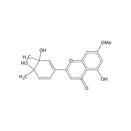 COc1cc(O)c2c(=O)cc(C3=CC(C)(O)C(C)(O)C=C3)oc2c1